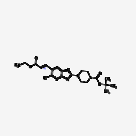 CCOC(=O)/C=C/c1cc2oc(N3CCN(C(=O)OC(C)(C)C)CC3)nc2nc1Cl